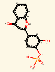 O=c1cc(-c2ccc(OP(=O)(O)O)c(O)c2)oc2ccccc12